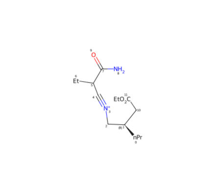 CCC[C@@H](C[N+]#CC(CC)C(N)=O)CC(=O)OCC